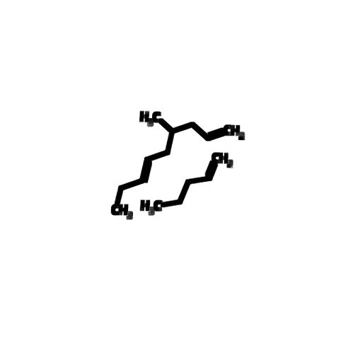 C=CCC(C)CC=CCC.C=CCCC